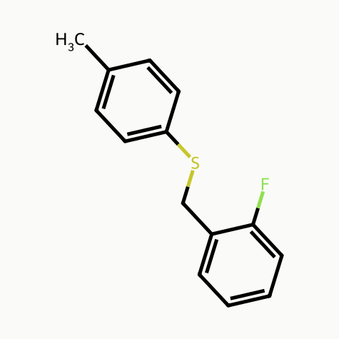 Cc1ccc(SCc2ccccc2F)cc1